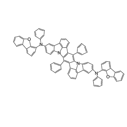 c1ccc(-c2c3c4cccc5c6cc(N(c7ccccc7)c7cccc8c7oc7ccccc78)ccc6n(c3c(-c3ccccc3)c3c6cccc7c8cc(N(c9ccccc9)c9cccc%10c9oc9ccccc9%10)ccc8n(c23)c76)c54)cc1